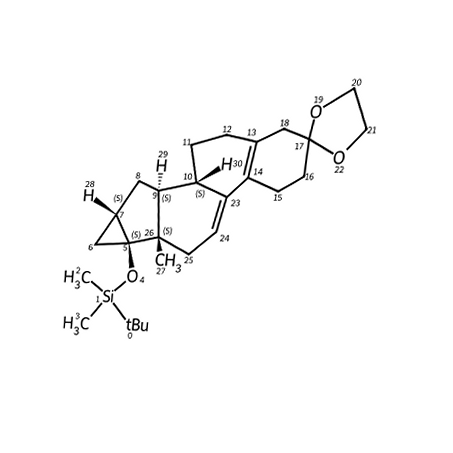 CC(C)(C)[Si](C)(C)O[C@@]12C[C@@H]1C[C@H]1[C@@H]3CCC4=C(CCC5(C4)OCCO5)C3=CC[C@@]12C